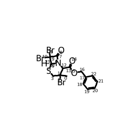 CC1(Br)CS[C@@H]2N(C(=O)C2(Br)Br)C1C(=O)OCc1ccccc1